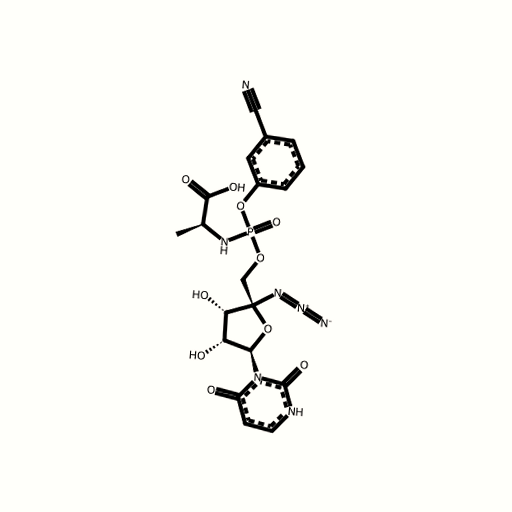 C[C@H](NP(=O)(OC[C@@]1(N=[N+]=[N-])O[C@@H](n2c(=O)cc[nH]c2=O)[C@H](O)[C@@H]1O)Oc1cccc(C#N)c1)C(=O)O